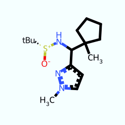 Cn1ccc(C(N[S@+]([O-])C(C)(C)C)C2(C)CCCC2)n1